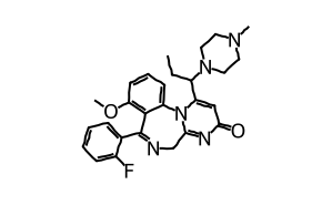 CCC(c1cc(=O)nc2n1-c1cccc(OC)c1C(c1ccccc1F)=NC2)N1CCN(C)CC1